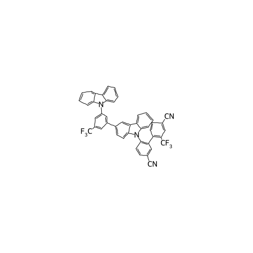 N#Cc1ccc(-n2c3ccccc3c3cc(-c4cc(-n5c6ccccc6c6ccccc65)cc(C(F)(F)F)c4)ccc32)c(-c2ccc(C#N)cc2C(F)(F)F)c1